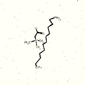 CCCCCCCCCCCCN.C[N+](C)(C)CC(=O)[O-]